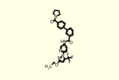 CCOc1cc(C(F)(F)F)n(-c2ccc(NC(=O)c3cccc(-c4ccc(C(=O)N5CCCC5)cc4)c3)cn2)n1